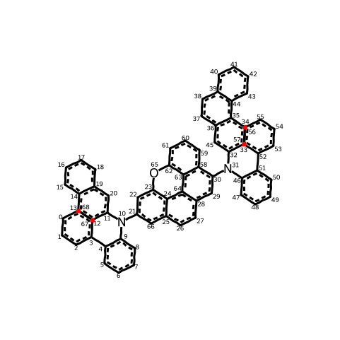 c1ccc(-c2ccccc2N(c2ccc3ccccc3c2)c2cc3c4c(ccc5cc(N(c6ccc7c(ccc8ccccc87)c6)c6ccccc6-c6ccccc6)c6cccc(c6c54)O3)c2)cc1